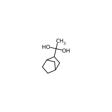 CC(O)(O)C1CC2CCC1C2